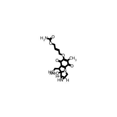 COC12C(CO)C3=C(C(=O)C(C)=C(OCC=CCOC(N)=O)C3=O)N1C[C@H]1N[C@H]12